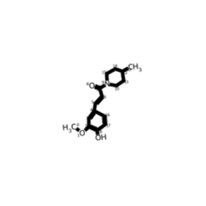 COc1cc(C=CC(=O)N2CCC(C)CC2)ccc1O